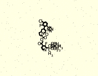 CC(O[Si](C)(C)C(C)(C)C)c1nccc(C(=O)COC(=O)[C@@H]2CCC3CC(c4c(-n5cnnn5)ccc(Cl)c4F)=CC(=O)N32)c1F